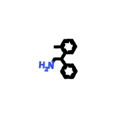 Cc1ccccc1C(CN)c1ccccc1